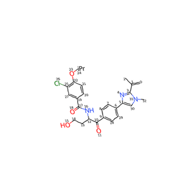 C=C(C)c1nc(-c2ccc(C(=O)C(CCO)NC(=O)c3ccc(OC(C)C)c(Cl)c3)cc2)cn1C